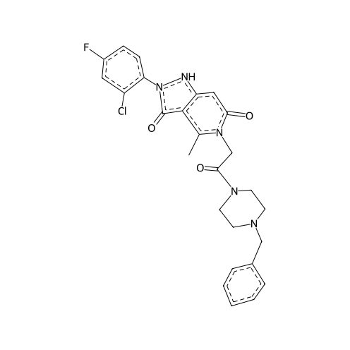 Cc1c2c(=O)n(-c3ccc(F)cc3Cl)[nH]c2cc(=O)n1CC(=O)N1CCN(Cc2ccccc2)CC1